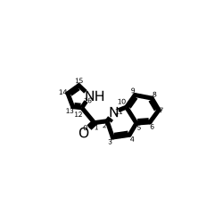 O=C(c1ccc2ccccc2n1)c1ccc[nH]1